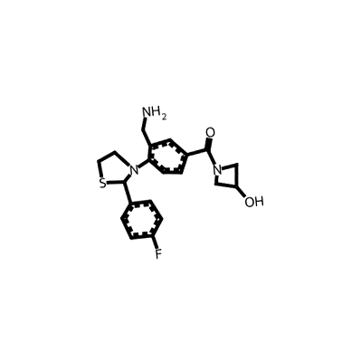 NCc1cc(C(=O)N2CC(O)C2)ccc1N1CCSC1c1ccc(F)cc1